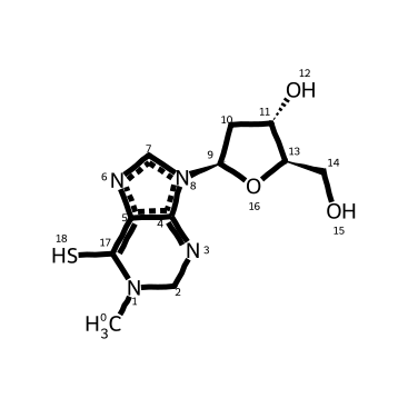 CN1CN=c2c(ncn2[C@H]2C[C@H](O)[C@@H](CO)O2)=C1S